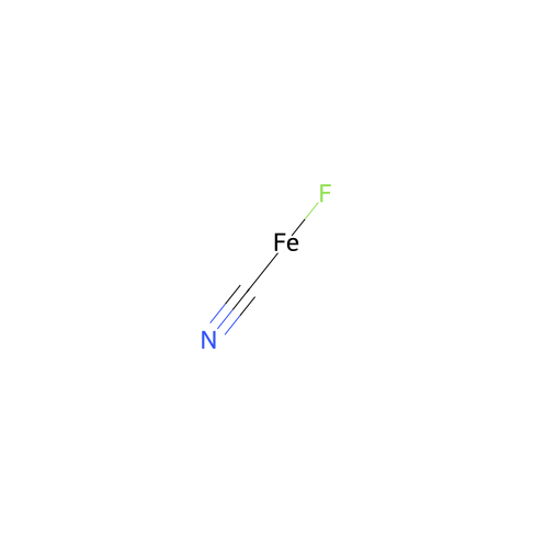 N#[C][Fe][F]